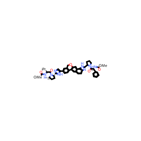 COC(=O)N[C@H](C(=O)N1[C@@H](C)CC[C@H]1c1ncc(-c2ccc3c(c2)COc2cc4c(ccc5nc(C6CCCN6C(=O)[C@H](NC(=O)OC)c6ccccc6)[nH]c54)cc2-3)[nH]1)C(C)C